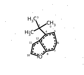 CC(C)(C)c1cccc2occc12